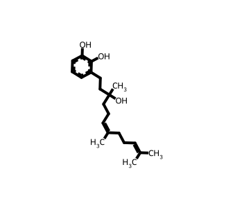 CC(C)=CCCC(C)=CCCC(C)(O)CCc1cccc(O)c1O